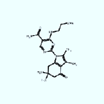 COCCNc1nc(-n2c(C)c(C)c3c2CC(C)(C)CC3=O)ncc1C(N)=O